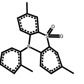 Cc1ccc2c(c1)S(=O)(=O)c1cc(C)ccc1N2c1ccccc1C